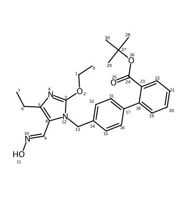 CCOc1nc(CC)c(C=NO)n1Cc1ccc(-c2ccccc2C(=O)OC(C)(C)C)cc1